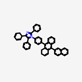 C1=CCC(c2nc(-c3ccccc3)n(-c3ccc(-c4c5c(c(-c6ccc7ccccc7c6)c6ccccc46)C=CCC5)cc3)c2-c2ccccc2)C=C1